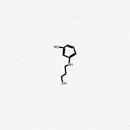 N#Cc1cccc(NCCCO)c1